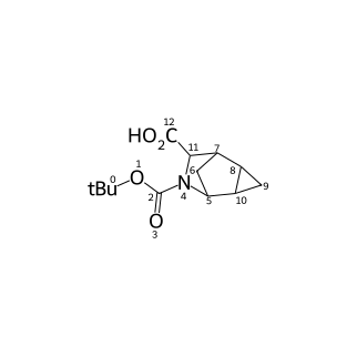 CC(C)(C)OC(=O)N1C2CC(C3CC32)C1C(=O)O